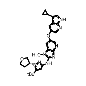 Cn1c(Nc2cc(C(C)(C)C)n([C@H]3CCOC3)n2)nc2ncc(Oc3cnc4[nH]cc(C5CC5)c4c3)cc21